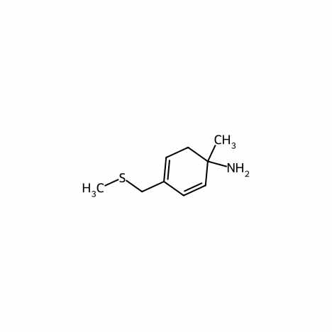 CSCC1=CCC(C)(N)C=C1